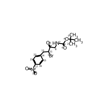 CC(C)(C)OC(=O)NCC(=O)C(Br)Cc1ccc([N+](=O)[O-])cc1